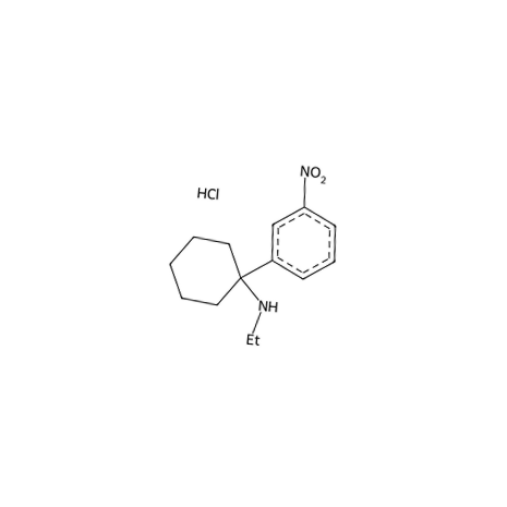 CCNC1(c2cccc([N+](=O)[O-])c2)CCCCC1.Cl